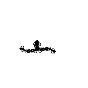 C=CC(=O)OCCCOC1CCC(C2CCC(C(=O)Oc3ccc(OC(=O)C4CCC(C5CCC(OCCCOC(=O)C=C)CC5)CC4)c4c3SC(=C3C(=O)c5ccccc5S3(=O)=O)S4)CC2)CC1